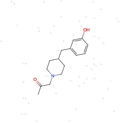 CC(=O)CN1CCC(Cc2cccc(O)c2)CC1